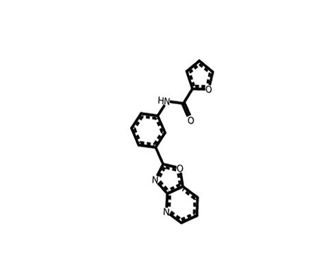 O=C(Nc1cccc(-c2nc3ncccc3o2)c1)c1ccco1